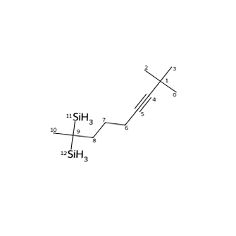 CC(C)(C)C#CCCCC(C)([SiH3])[SiH3]